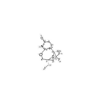 O=c1ccn2c(n1)OC[C@]1(CI)CC(F)(F)[C@H]2O1